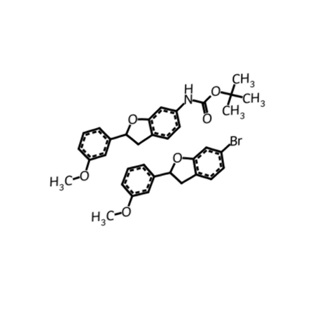 COc1cccc(C2Cc3ccc(Br)cc3O2)c1.COc1cccc(C2Cc3ccc(NC(=O)OC(C)(C)C)cc3O2)c1